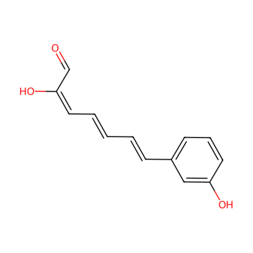 O=C\C(O)=C/C=C/C=C/c1cccc(O)c1